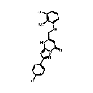 Cc1cccc(NCc2cc(=O)n3nc(-c4ccc(Cl)cc4)nc3[nH]2)c1C